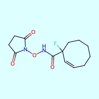 O=C1CCC(=O)N1ONC(=O)C1(F)/C=C\CCCCC1